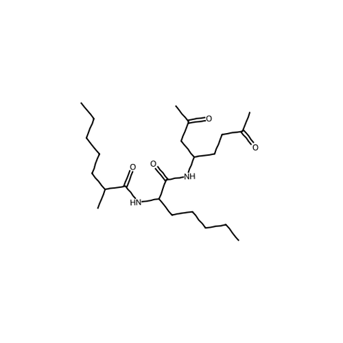 CCCCCC(C)C(=O)NC(CCCCC)C(=O)NC(CCC(C)=O)CC(C)=O